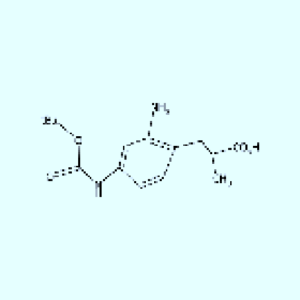 CC(Cc1ccc(NC(=O)OC(C)(C)C)cc1N)C(=O)O